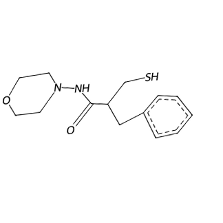 O=C(NN1CCOCC1)C(CS)Cc1ccccc1